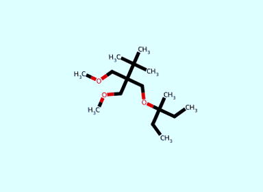 CCC(C)(CC)OCC(COC)(COC)C(C)(C)C